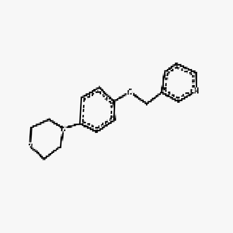 c1cncc(COc2ccc(N3CC[N]CC3)cc2)c1